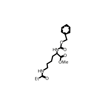 CCC(=O)NCCCCC(NC(=O)OCc1ccccc1)C(=O)OC